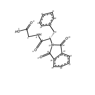 O=C(O)CNC(=O)[C@H](Cc1ccccc1)N1C(=O)c2ccccc2C1=O